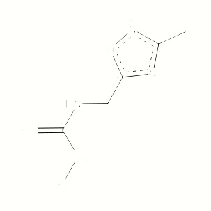 Cc1noc(CNC(=O)OC(C)(C)C)n1